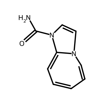 NC(=O)N1C=CN2C=CC=CC=C21